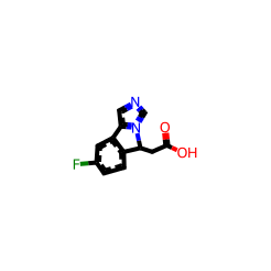 O=C(O)CC1c2ccc(F)cc2-c2cncn21